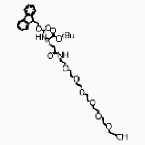 C#CCOCCOCCOCCOCCOCCOCCNC(=O)CC[C@@H](NC(=O)OCC1c2ccccc2-c2ccccc21)C(=O)OC(C)(C)C